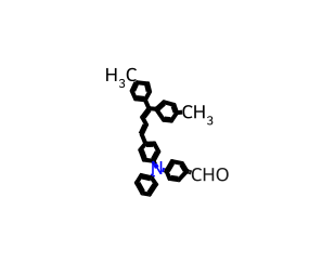 Cc1ccc(C(=CC=Cc2ccc(N(c3ccccc3)c3ccc(C=O)cc3)cc2)c2ccc(C)cc2)cc1